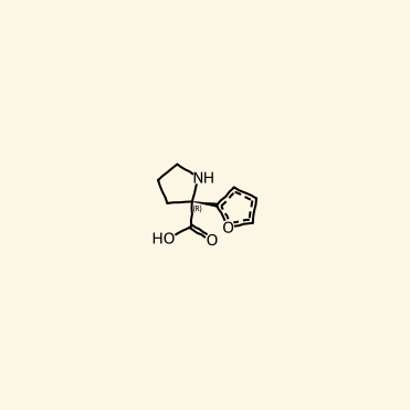 O=C(O)[C@]1(c2ccco2)CCCN1